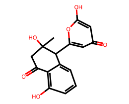 CC1(O)CC(=O)c2c(O)cccc2C1c1cc(=O)cc(O)o1